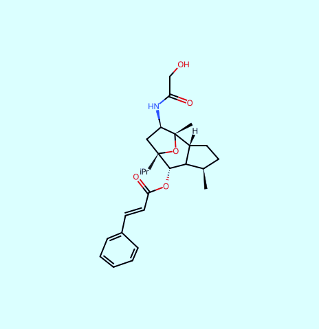 CC(C)[C@@]12C[C@@H](NC(=O)CO)[C@@](C)(O1)[C@@H]1CC[C@@H](C)C1[C@@H]2OC(=O)/C=C/c1ccccc1